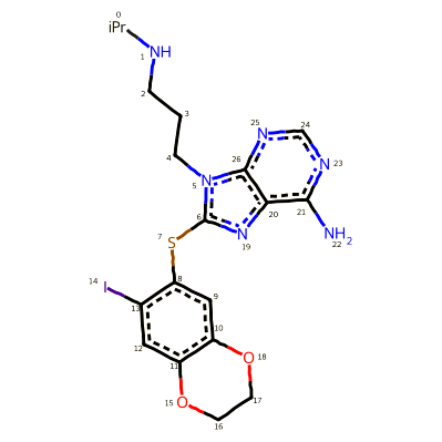 CC(C)NCCCn1c(Sc2cc3c(cc2I)OCCO3)nc2c(N)ncnc21